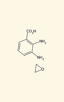 C1CO1.Nc1cccc(C(=O)O)c1N